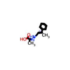 C/C(=N/NC/C=C(\C)c1ccccc1)C(=O)O